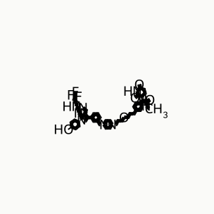 Cn1c(=O)n([C@H]2CCC(=O)NC2=O)c2ccc(CCCOCCCN3CCN(Cc4cccc(-c5cn([C@H]6CC[C@H](O)CC6)c6nc(NCCC(F)(F)F)ncc56)c4)CC3)cc21